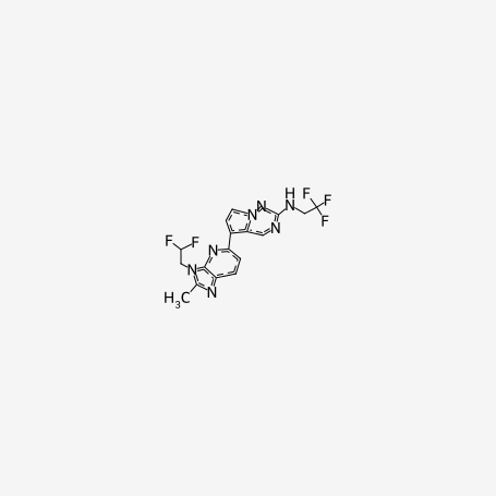 Cc1nc2ccc(-c3ccn4nc(NCC(F)(F)F)ncc34)nc2n1CC(F)F